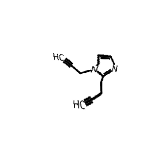 C#CCc1nccn1CC#C